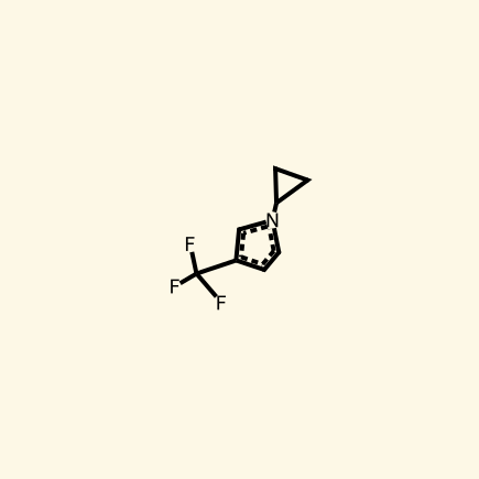 FC(F)(F)c1ccn(C2CC2)c1